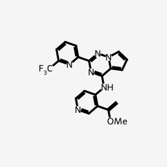 C=C(OC)c1cnccc1Nc1nc(-c2cccc(C(F)(F)F)n2)nn2cccc12